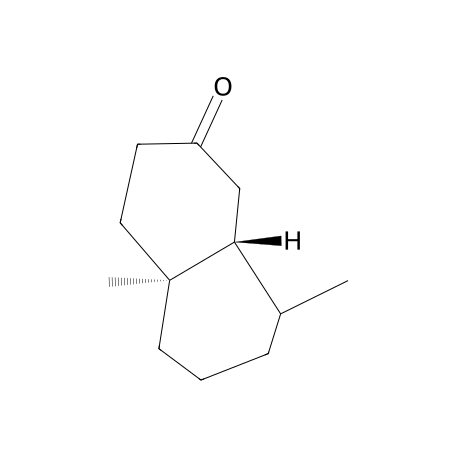 CC1CCC[C@@]2(C)CCC(=O)C[C@H]12